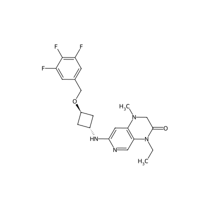 CCN1C(=O)CN(C)c2cc(N[C@H]3C[C@H](OCc4cc(F)c(F)c(F)c4)C3)ncc21